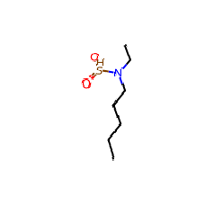 CCCCCN(CC)[SH](=O)=O